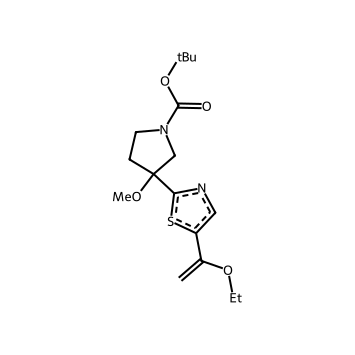 C=C(OCC)c1cnc(C2(OC)CCN(C(=O)OC(C)(C)C)C2)s1